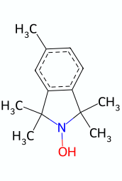 Cc1ccc2c(c1)C(C)(C)N(O)C2(C)C